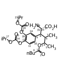 CCCCC(=O)OC(C)C(C)C(c1ccc(OC(=O)OC(C)C)c(OC(=O)OC(C)C)c1)[C@H](N)C(=O)O